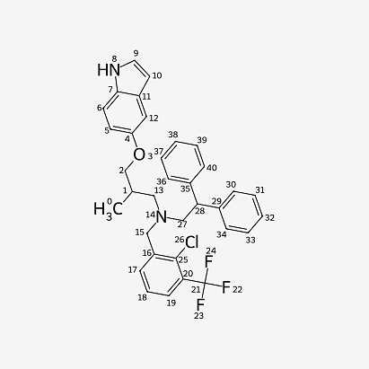 CC(COc1ccc2[nH]ccc2c1)CN(Cc1cccc(C(F)(F)F)c1Cl)CC(c1ccccc1)c1ccccc1